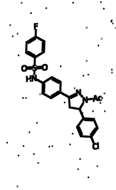 CC(=O)N1N=C(c2ccc(NS(=O)(=O)c3ccc(F)cc3)cc2)CC1c1ccc(Cl)cc1